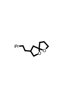 CC(C)CCC1COC2(CCCO2)C1